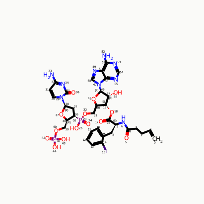 C=CCCC(=O)N[C@@H](Cc1ccccc1I)C(=O)O[C@@H]1C(COP(=O)(O)[C@H]2C[C@H](n3ccc(N)nc3=O)O[C@@H]2COP(=O)(O)O)O[C@@H](n2cnc3c(N)ncnc32)[C@@H]1O